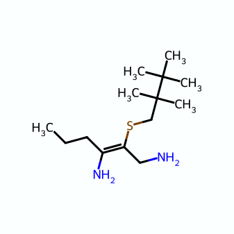 CCC/C(N)=C(/CN)SCC(C)(C)C(C)(C)C